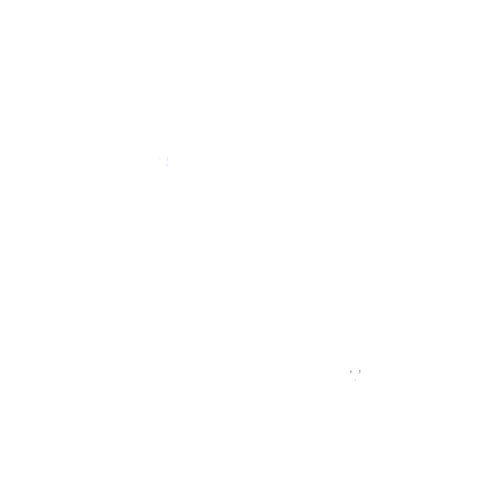 COC(=O)c1ccc2c(c1)CC1(CC2)CCN(C(C)C)C1